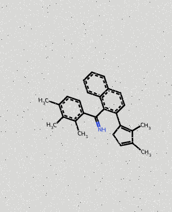 CC1=CCC(c2ccc3ccccc3c2C(=N)c2ccc(C)c(C)c2C)=C1C